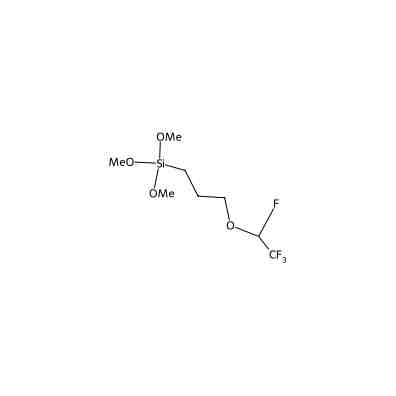 CO[Si](CCCOC(F)C(F)(F)F)(OC)OC